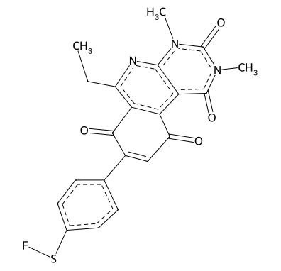 CCc1nc2c(c3c1C(=O)C(c1ccc(SF)cc1)=CC3=O)c(=O)n(C)c(=O)n2C